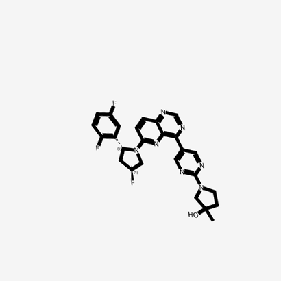 CC1(O)CCN(c2ncc(-c3ncnc4ccc(N5C[C@@H](F)C[C@@H]5c5cc(F)ccc5F)nc34)cn2)C1